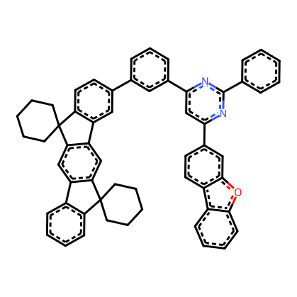 c1ccc(-c2nc(-c3cccc(-c4ccc5c(c4)-c4cc6c(cc4C54CCCCC4)-c4ccccc4C64CCCCC4)c3)cc(-c3ccc4c(c3)oc3ccccc34)n2)cc1